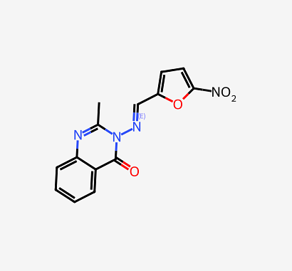 Cc1nc2ccccc2c(=O)n1/N=C/c1ccc([N+](=O)[O-])o1